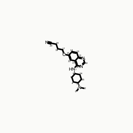 CN(C)[C@H]1CC[C@H](Nc2ncnc3ccc(OCCCC#N)cc23)CC1